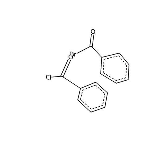 O=C(Br)c1ccccc1.O=C(Cl)c1ccccc1